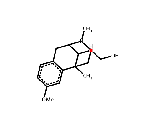 COc1ccc2c(c1)C1(C)CCN(C)C(C2)C1NCO